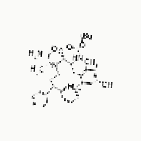 Cc1cc(O)cc(C)c1CC(NC(=O)OC(C)(C)C)C(=O)N(CCC(c1ccccc1)c1ccccc1)[C@H](C)C(N)=O